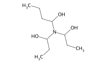 CCCC(O)N(C(O)CC)C(O)CC